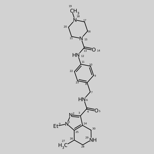 CCn1nc(C(=O)NCc2ccc(NC(=O)N3CCN(C)CC3)cc2)c2c1C(C)CNC2